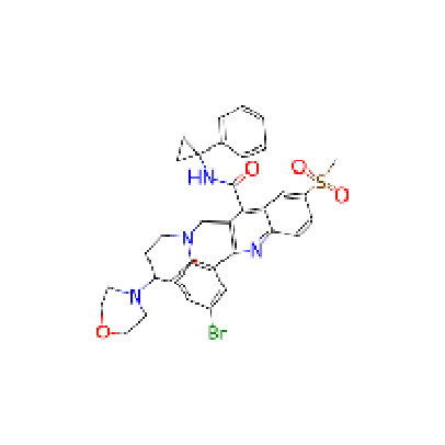 CS(=O)(=O)c1ccc2nc(-c3cccc(Br)c3)c(CN3CCC(N4CCOCC4)CC3)c(C(=O)NC3(c4ccccc4)CC3)c2c1